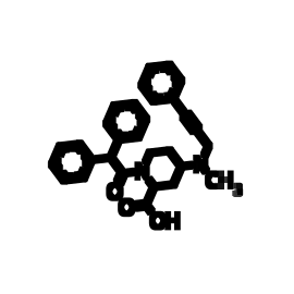 CN(CC#Cc1ccccc1)C1CCN(C(=O)C(c2ccccc2)c2ccccc2)C(C(=O)O)C1